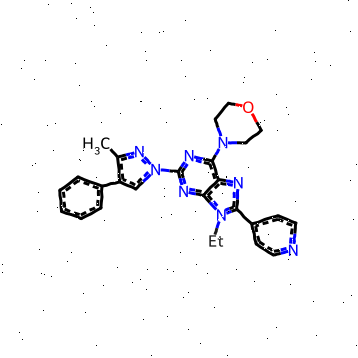 CCn1c(-c2ccncc2)nc2c(N3CCOCC3)nc(-n3cc(-c4ccccc4)c(C)n3)nc21